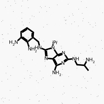 CC(N)CNc1nc(N)c2nc(NCc3cccc(N)c3N)n(C(C)C)c2n1